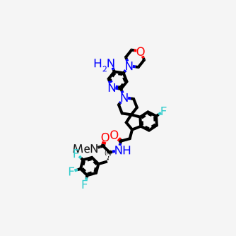 CNC(=O)[C@@H](Cc1cc(F)c(F)c(F)c1)NC(=O)CC1CC2(CCN(c3cc(N4CCOCC4)c(N)cn3)CC2)c2cc(F)ccc21